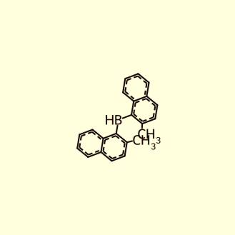 Cc1ccc2ccccc2c1Bc1c(C)ccc2ccccc12